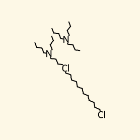 CCCCN(CCCC)CCCC.CCCCN(CCCC)CCCC.ClCCCCCCCCCCCCCl